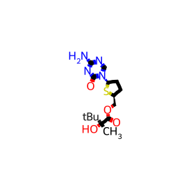 CC(C)(C)C(C)(O)C(=O)OC[C@@H]1CC[C@H](n2cnc(N)nc2=O)S1